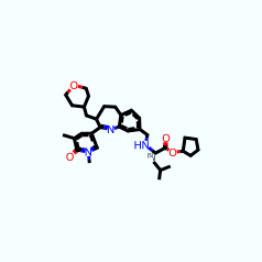 Cc1cc(C2=Nc3cc(CN[C@@H](CC(C)C)C(=O)OC4CCCC4)ccc3CCC2CC2CCOCC2)cn(C)c1=O